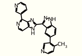 Cc1ccncc1-c1ccc2[nH]nc(-c3nc4c(-c5cccnc5)nccc4[nH]3)c2c1